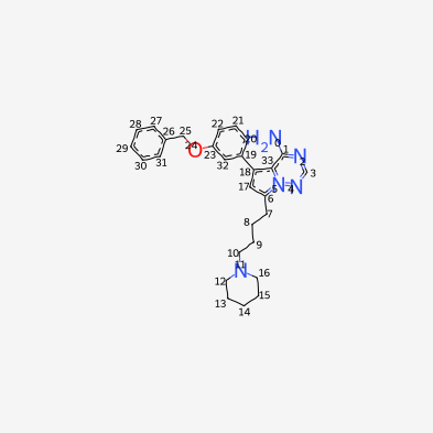 Nc1ncnn2c(CCCCN3CCCCC3)cc(-c3cccc(OCc4ccccc4)c3)c12